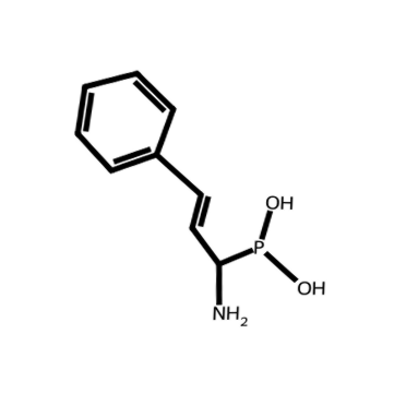 NC(C=Cc1ccccc1)P(O)O